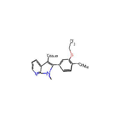 COc1ccc(-c2c(OC)c3cccnc3n2C)cc1OCC(F)(F)F